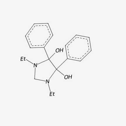 CCN1CN(CC)C(O)(c2ccccc2)C1(O)c1ccccc1